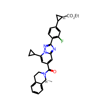 CCOC(=O)[C@@H]1CC1c1ccc(-c2nc3cc(C(=O)N4CCc5ccccc5[C@H]4C)cc(C4CC4)n3n2)c(F)c1